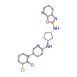 O=c1c(Cl)cccn1-c1ccc(N[C@H]2CC[C@H](Nc3nc4cccnc4o3)C2)nc1